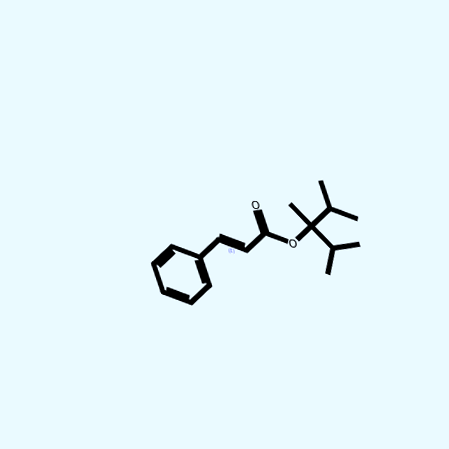 CC(C)C(C)(OC(=O)/C=C/c1ccccc1)C(C)C